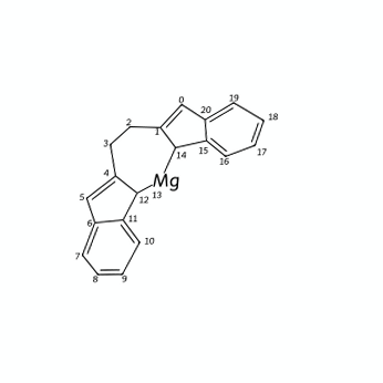 C1=C2CCC3=Cc4ccccc4[CH]3[Mg][CH]2c2ccccc21